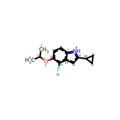 CC(C)Oc1ccc2[nH]c(C3CC3)cc2c1F